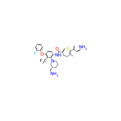 C=C(/C=C\N)C1=C(C)CCC(C(=O)Nc2ccc(Oc3ccccc3F)c(C(F)(F)F)c2N2CCC[C@@H](CN)C2)=CS1